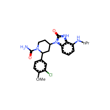 CCCNc1cccc2c1[nH]c(=O)n2C1CCN(C(N)=O)C(c2ccc(OC)c(Cl)c2)C1